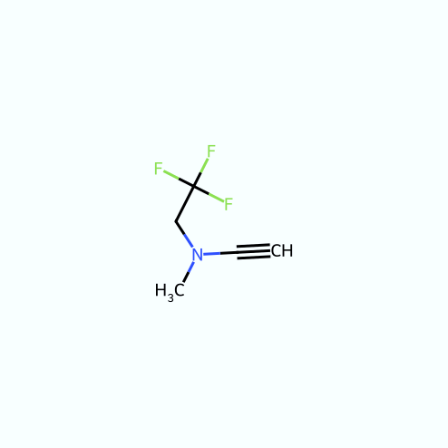 C#CN(C)CC(F)(F)F